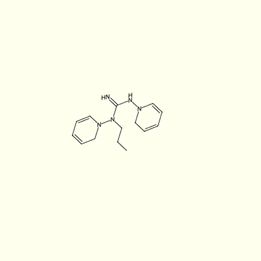 CCCN(C(=N)NN1C=CC=CC1)N1C=CC=CC1